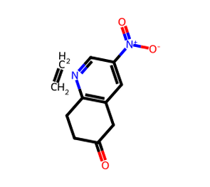 C=C.O=C1CCc2ncc([N+](=O)[O-])cc2C1